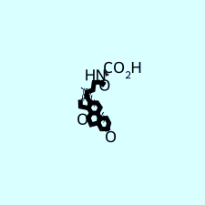 C[C@H](CCC(=O)NCC(=O)O)[C@H]1CCC2C3C(=O)CC4CC(=O)CC[C@]4(C)C3CC[C@@]21C